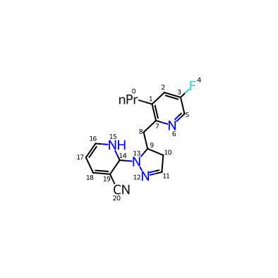 CCCc1cc(F)cnc1CC1CC=NN1C1NC=CC=C1C#N